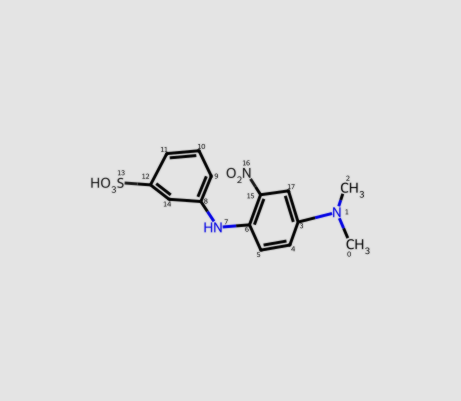 CN(C)c1ccc(Nc2cccc(S(=O)(=O)O)c2)c([N+](=O)[O-])c1